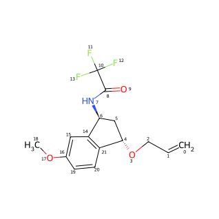 C=CCO[C@H]1C[C@H](NC(=O)C(F)(F)F)c2cc(OC)ccc21